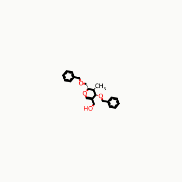 C[C@@H]1[C@H](OCc2ccccc2)C(CO)=CO[C@@H]1COCc1ccccc1